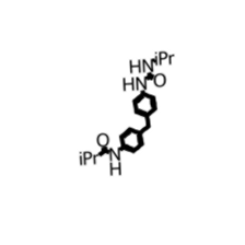 CC(C)NC(=O)Nc1ccc(Cc2ccc(NC(=O)C(C)C)cc2)cc1